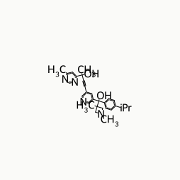 Cc1cc(C(C)(O)C#Cc2cncc(C(O)(c3ccc(C(C)C)cc3)C3(C)CN(C)C3)c2)ncn1